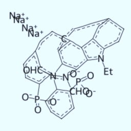 CCn1c2ccc3ccc4c(N(C=O)c5ccccc5P(=O)([O-])[O-])c5c1c(c4ccc1ccc(P(=O)([O-])[O-])c(c1)n5C=O)c2c3.[Na+].[Na+].[Na+].[Na+]